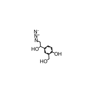 [N-]=[N+]=NC[C@H](O)c1ccc(O)c(CO)c1